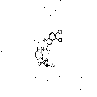 CC(=O)NS(=O)(=O)N1CCCC(NC(=O)c2cc3c(Cl)c(Cl)ccc3n2C)C1